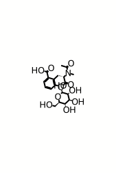 CC(=O)N(C)[C@@H](Cc1c(O[C@@H]2O[C@H](CO)[C@@H](O)[C@H](O)[C@H]2O)cccc1C(=O)O)C(=O)O